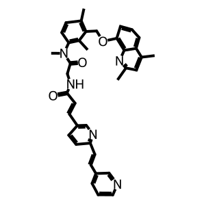 Cc1cc(C)c2cccc(OCc3c(C)ccc(N(C)C(=O)CNC(=O)C=Cc4ccc(C=Cc5cccnc5)nc4)c3C)c2n1